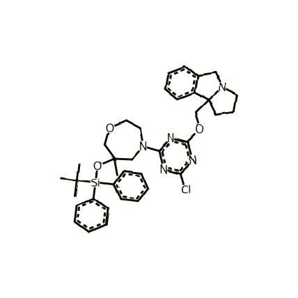 CC1(O[Si](c2ccccc2)(c2ccccc2)C(C)(C)C)COCCN(c2nc(Cl)nc(OCC34CCCN3Cc3ccccc34)n2)C1